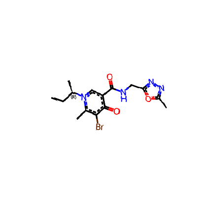 CC[C@@H](C)n1cc(C(=O)NCc2nnc(C)o2)c(=O)c(Br)c1C